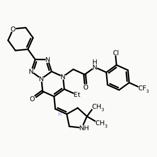 CCc1c(/C=C2/CNC(C)(C)C2)c(=O)n2nc(C3=CCOCC3)nc2n1CC(=O)Nc1ccc(C(F)(F)F)cc1Cl